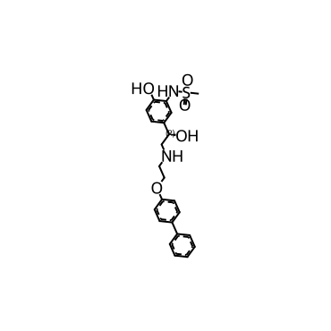 CS(=O)(=O)Nc1cc([C@@H](O)CNCCOc2ccc(-c3ccccc3)cc2)ccc1O